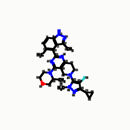 Cc1ccc2[nH]nc(C)c2c1-c1nc2c(c(N3CCOCC3C)n1)CN(c1c(F)c(C3CC3)nn1C)CC2